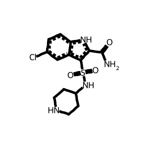 NC(=O)c1[nH]c2ccc(Cl)cc2c1S(=O)(=O)NC1CCNCC1